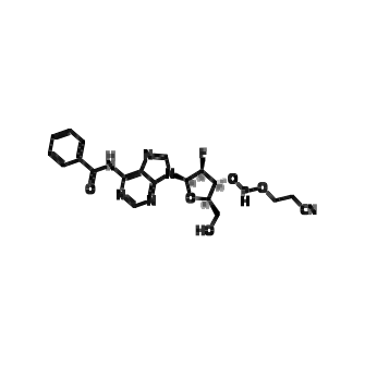 N#CCCOPO[C@H]1[C@H](F)[C@H](n2cnc3c(NC(=O)c4ccccc4)ncnc32)O[C@@H]1CO